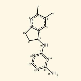 Cc1cc2c(cc1C)C(Nc1ncnc(N)n1)CC2